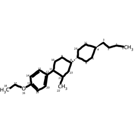 CCCC[C@H]1CC[C@H](C2CCC(c3ccc(OCC)cc3)C(C)C2)CC1